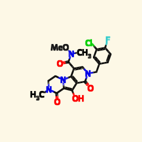 CON(C)C(=O)c1cn(Cc2ccc(F)c(Cl)c2)c(=O)c2c(O)c3n(c12)CCN(C)C3=O